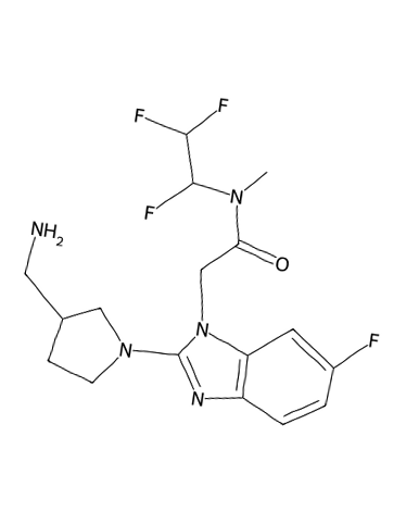 CN(C(=O)Cn1c(N2CCC(CN)C2)nc2ccc(F)cc21)C(F)C(F)F